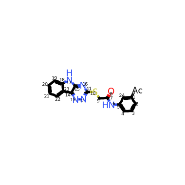 CC(=O)c1cccc(NC(=O)CSc2nnc3c(n2)[nH]c2ccccc23)c1